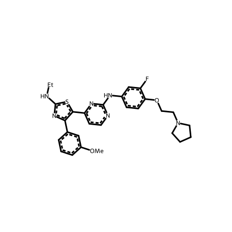 CCNc1nc(-c2cccc(OC)c2)c(-c2ccnc(Nc3ccc(OCCN4CCCC4)c(F)c3)n2)s1